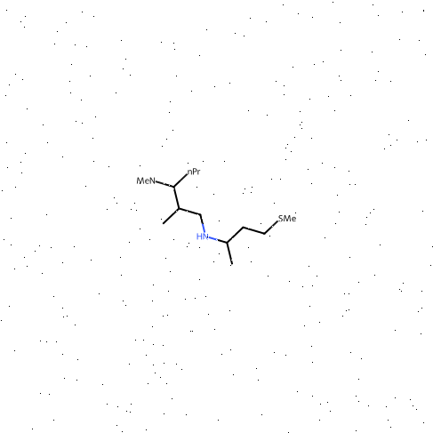 CCCC(NC)C(C)CNC(C)CCSC